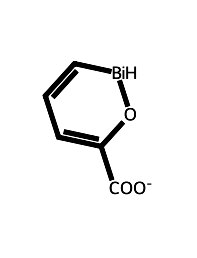 O=C([O-])C1=CC=[CH][BiH][O]1